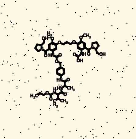 C=CCOC(=O)NC(C(=O)NC(C)C(=O)Nc1ccc(COC(=O)Nc2cc(OCCCOc3cc(NC(=O)O)c(C(=O)N4CCCC4CO)cc3OC)c(OC)cc2C(=O)N2CCCC2CO)cc1)C(C)C